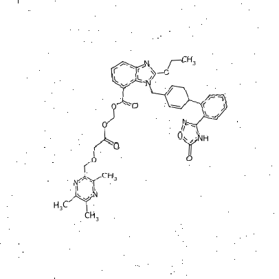 CCOc1nc2cccc(C(=O)OCOC(=O)COCc3nc(C)c(C)nc3C)c2n1CC1=CCC(c2ccccc2-c2noc(=O)[nH]2)C=C1